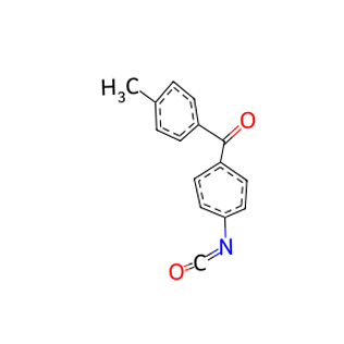 Cc1ccc(C(=O)c2ccc(N=C=O)cc2)cc1